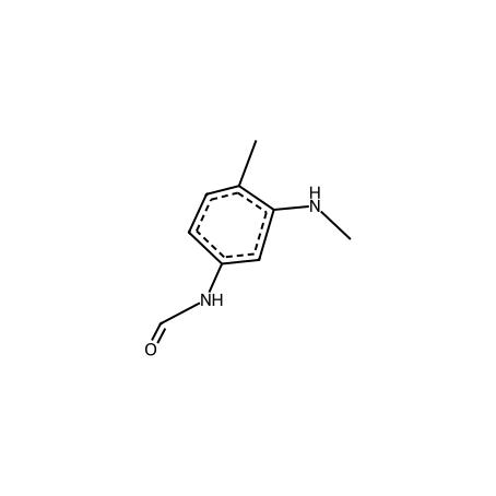 CNc1cc(NC=O)ccc1C